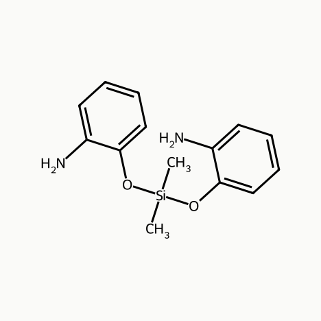 C[Si](C)(Oc1ccccc1N)Oc1ccccc1N